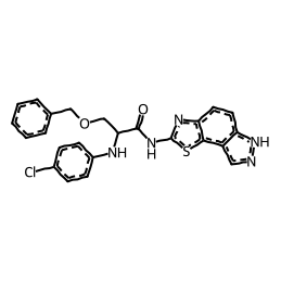 O=C(Nc1nc2ccc3[nH]ncc3c2s1)C(COCc1ccccc1)Nc1ccc(Cl)cc1